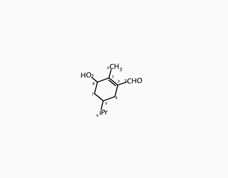 CC1=C(C=O)CC(C(C)C)CC1O